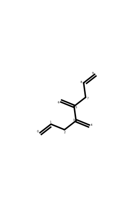 C=CCC(=C)C(=C)CC=C